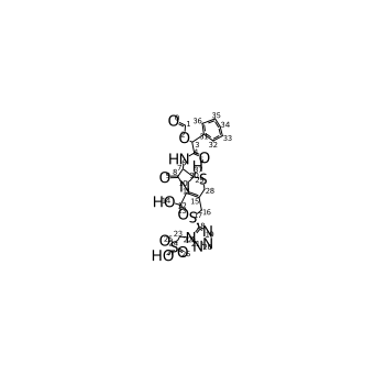 O=COC(C(=O)NC1C(=O)N2C(C(=O)O)=C(CSc3nnnn3CS(=O)(=O)O)CS[C@@H]12)c1ccccc1